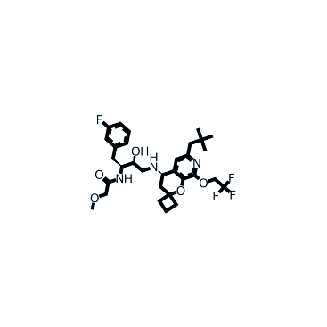 COCC(=O)N[C@@H](Cc1cccc(F)c1)[C@@H](O)CN[C@H]1CC2(CCC2)Oc2c1cc(CC(C)(C)C)nc2OCC(F)(F)F